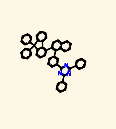 c1ccc(-c2nc(-c3ccccc3)nc(-c3cccc(-c4c(-c5cccc6c5-c5ccccc5C6(c5ccccc5)c5ccccc5)ccc5ccccc45)c3)n2)cc1